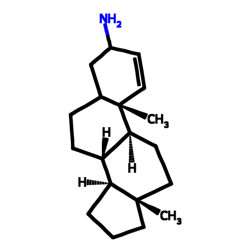 C[C@@]12CCC[C@H]1[C@@H]1CCC3CC(N)C=C[C@]3(C)[C@H]1CC2